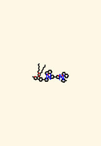 CCCCCCCCC1(CCCCCCCC)c2cc(C)ccc2-c2ccc(-c3cccc(N(c4ccc(-c5ccc(N(c6cccc(C)c6)c6cccc7ccccc67)cc5)cc4)c4cccc5ccccc45)c3)cc21